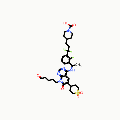 CC(Nc1ncnc2c1cc(C1CCS(=O)(=O)CC1)c(=O)n2CCCCC=O)c1cccc(C(F)(F)CCC2CCN(C(=O)O)CC2)c1F